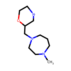 CN1CCCN(CC2C[N]CCO2)CC1